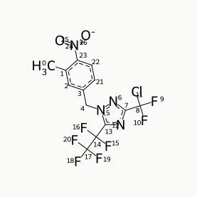 Cc1cc(Cn2nc(C(F)(F)Cl)nc2C(F)(F)C(F)(F)F)ccc1[N+](=O)[O-]